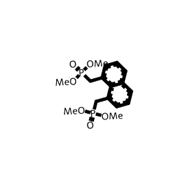 COP(=O)(Cc1cccc2cccc(CP(=O)(OC)OC)c12)OC